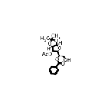 CC(=O)O[C@@H]1[C@H]2OC(C)(C)O[C@H]2O[C@@H]1[C@@H](CO)OC(=O)c1ccccc1